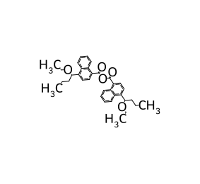 CCCC(OCC)c1ccc(C(=O)OC(=O)c2ccc(C(CCC)OCC)c3ccccc23)c2ccccc12